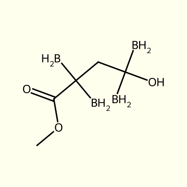 BC(B)(O)CC(B)(B)C(=O)OC